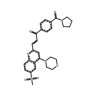 CS(=O)(=O)c1ccc2nc(C=CC(=O)c3ccc(C(=O)N4CCCC4)cc3)cc(N3CCOCC3)c2c1